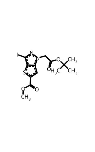 COC(=O)c1cc2c(s1)c(I)nn2CC(=O)OC(C)(C)C